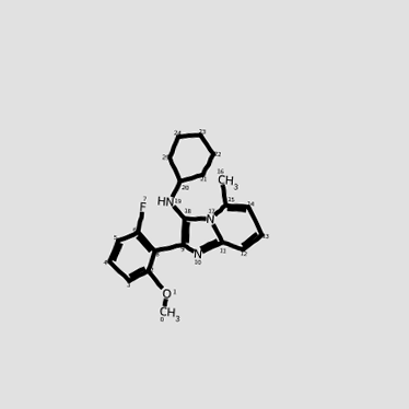 COc1cccc(F)c1-c1nc2cccc(C)n2c1NC1CCCCC1